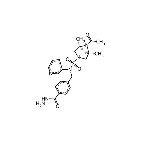 CC(=O)N1[C@H](C)CN(S(=O)(=O)N(Cc2ccc(C(=O)NN)cc2)c2cccnc2)C[C@@H]1C